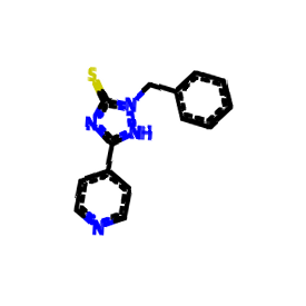 S=c1nc(-c2ccncc2)[nH]n1Cc1ccccc1